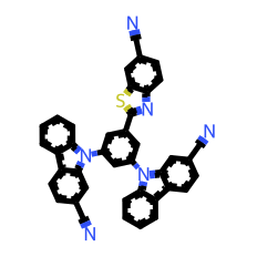 N#Cc1ccc2nc(-c3cc(-n4c5ccccc5c5ccc(C#N)cc54)cc(-n4c5ccccc5c5ccc(C#N)cc54)c3)sc2c1